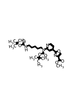 COC(=O)c1coc(-c2ccnc(N(CCCCCNC(=O)OC(C)(C)C)C(=O)OC(C)(C)C)c2)n1